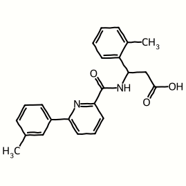 Cc1cccc(-c2cccc(C(=O)NC(CC(=O)O)c3ccccc3C)n2)c1